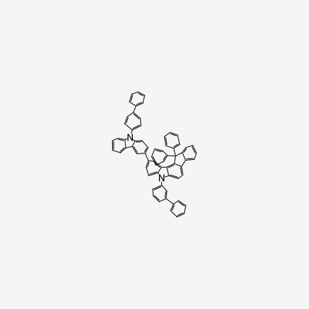 c1ccc(-c2ccc(-n3c4ccccc4c4cc(-c5ccc6c(c5)c5c7c(ccc5n6-c5cccc(-c6ccccc6)c5)-c5ccccc5C7(c5ccccc5)c5ccccc5)ccc43)cc2)cc1